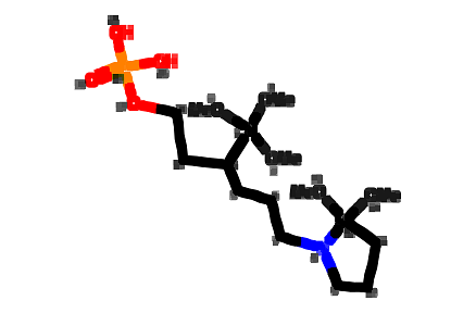 CO[Si](OC)(OC)C(CCCN1CCC[Si]1(OC)OC)CCOP(=O)(O)O